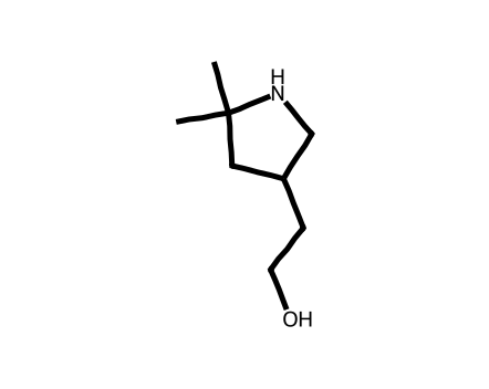 CC1(C)CC(CCO)CN1